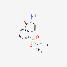 CC(C)S(=O)(=O)c1cccc2c1C=CC(=N)C2=O